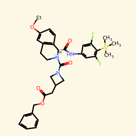 CCOc1ccc2c(c1)CCN(C(=O)N1CC(CC(=O)OCc3ccccc3)C1)[C@H]2C(=O)Nc1cc(F)c(S(C)(C)C)c(F)c1